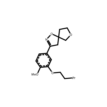 COc1ccc(C2=NOC3(CCOC3)C2)cc1OCCC(C)C